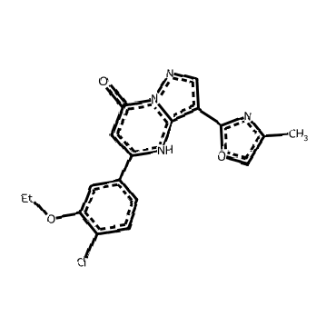 CCOc1cc(-c2cc(=O)n3ncc(-c4nc(C)co4)c3[nH]2)ccc1Cl